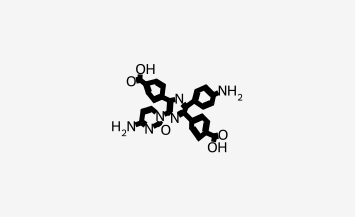 Nc1ccc(-c2nc(-c3ccc(C(=O)O)cc3)c(-n3ccc(N)nc3=O)nc2-c2ccc(C(=O)O)cc2)cc1